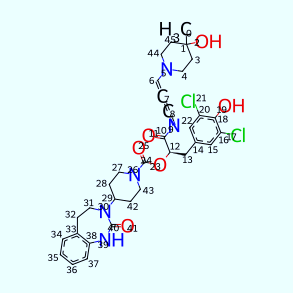 CC1(O)CCN(C=C=C=NC(=O)[C@@H](Cc2cc(Cl)c(O)c(Cl)c2)OC(=O)N2CCC(N3CCc4ccccc4NC3=O)CC2)CC1